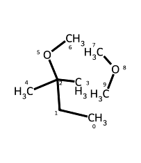 CCC(C)(C)OC.COC